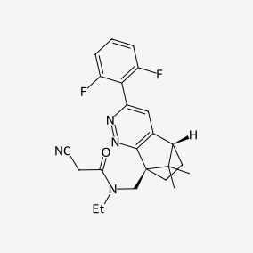 CCN(C[C@@]12CC[C@@H](c3cc(-c4c(F)cccc4F)nnc31)C2(C)C)C(=O)CC#N